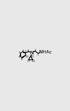 CC(=O)NCCN(Cc1ccccc1)C1CC1